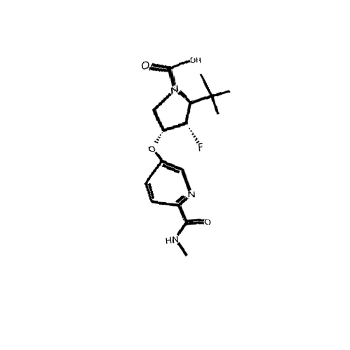 CNC(=O)c1ccc(O[C@@H]2CN(C(=O)O)C(C(C)(C)C)[C@@H]2F)cn1